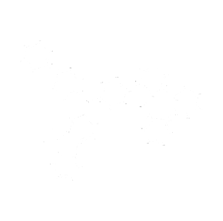 CC1(C)c2ccccc2-c2ccc(N(c3ccc(-c4ccccc4)cc3)c3ccc(-c4cccc5c4Oc4ccccc4-c4ccccc4-5)cc3)cc21